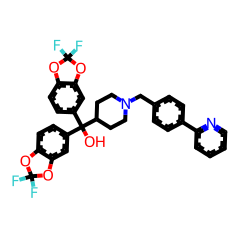 OC(c1ccc2c(c1)OC(F)(F)O2)(c1ccc2c(c1)OC(F)(F)O2)C1CCN(Cc2ccc(-c3ccccn3)cc2)CC1